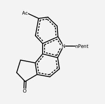 CCCCCn1c2ccc(C(C)=O)cc2c2c3c(ccc21)C(=O)CC3